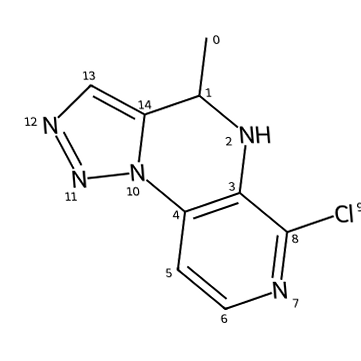 CC1Nc2c(ccnc2Cl)-n2nncc21